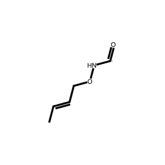 CC=CCON[C]=O